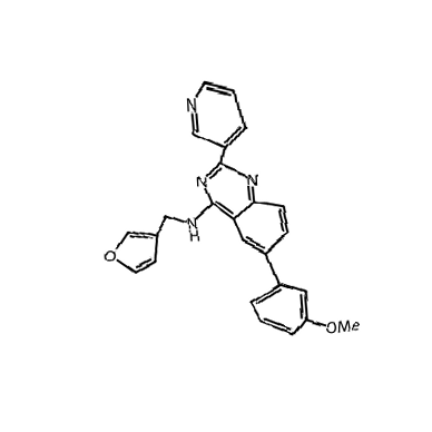 COc1cccc(-c2ccc3nc(-c4cccnc4)nc(NCc4ccoc4)c3c2)c1